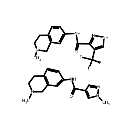 CN1CCc2ccc(NC(=O)c3cnn(C)c3)cc2C1.CN1CCc2ccc(NC(=O)c3n[nH]cc3C(F)(F)F)cc2C1